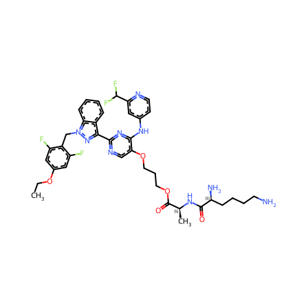 CCOc1cc(F)c(Cn2nc(-c3ncc(OCCCOC(=O)[C@H](C)NC(=O)[C@@H](N)CCCCN)c(Nc4ccnc(C(F)F)c4)n3)c3ccccc32)c(F)c1